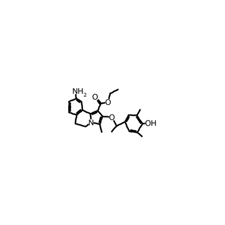 CCOC(=O)c1c(OC(C)c2cc(C)c(O)c(C)c2)c(C)n2c1-c1cc(N)ccc1CC2